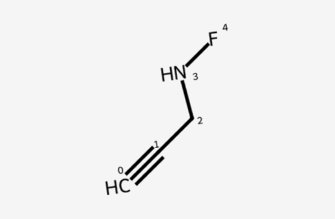 C#CCNF